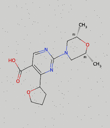 C[C@@H]1CN(c2ncc(C(=O)O)c(C3CCCO3)n2)C[C@H](C)O1